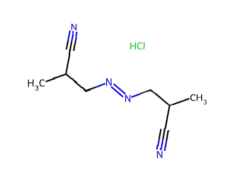 CC(C#N)CN=NCC(C)C#N.Cl